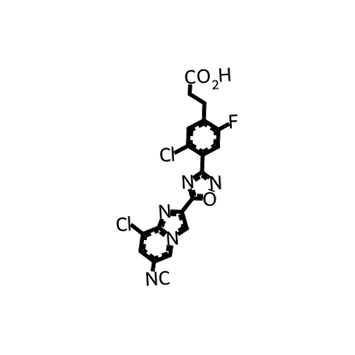 [C-]#[N+]c1cc(Cl)c2nc(-c3nc(-c4cc(F)c(CCC(=O)O)cc4Cl)no3)cn2c1